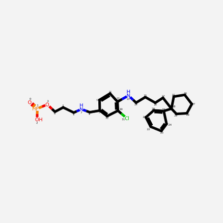 O=[PH](O)OCCCNCc1ccc(NCCCCC2(c3ccccc3)CCCCC2)c(Cl)c1